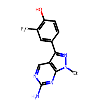 CCn1nc(-c2ccc(O)c(C(F)(F)F)c2)c2cnc(N)nc21